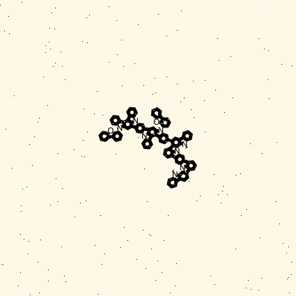 Cn1c2ccccc2c2ccc3c4cccc5c6cc7c(cc6n(c54)c3c21)c1cccc2c3c(-c4ccc5c6c8c9ccccc9n9c%10cc%11c%12cc%13c(c%14ccccc%14n%13-c%13cccc%14c%13oc%13ccccc%13%14)c%13c%14ccccc%14n(c%11cc%10c(cc6n(-c6cccc%10c6oc6ccccc6%10)c5c4)c89)c%12%13)cc4c5ccccc5n(C)c4c3n7c12